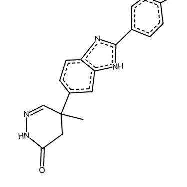 Cc1ccc(-c2nc3ccc(C4(C)C=NNC(=O)C4)cc3[nH]2)cc1